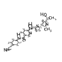 Cc1nc(C(C)O)sc1-c1csc(Nc2ccc(C(=O)Nc3ccc(C#N)cc3)cn2)n1